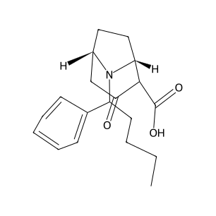 CCCCC(c1ccccc1)N1[C@H]2CC[C@@H]1C(C(=O)O)C(=O)C2